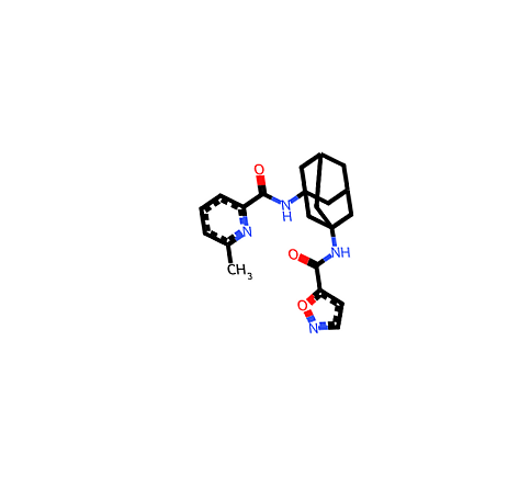 Cc1cccc(C(=O)NC23CC4CC(C2)CC(NC(=O)c2ccno2)(C4)C3)n1